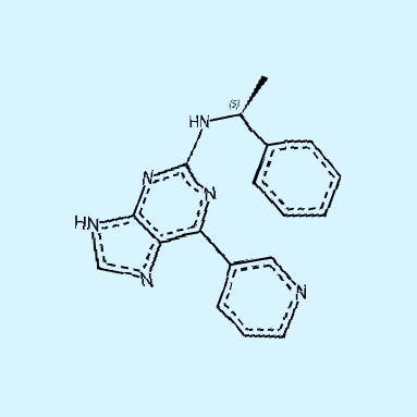 C[C@H](Nc1nc(-c2cccnc2)c2nc[nH]c2n1)c1ccccc1